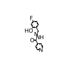 O=C(N/N=C/c1ccc(F)cc1O)c1ccncc1